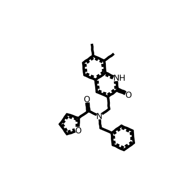 Cc1ccc2cc(CN(Cc3ccccc3)C(=O)c3ccco3)c(=O)[nH]c2c1C